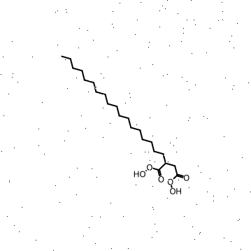 CCCCCCCCCCCCCCCCCCC(CC(=O)OO)C(=O)OO